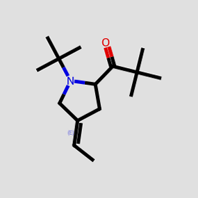 C/C=C1\CC(C(=O)C(C)(C)C)N(C(C)(C)C)C1